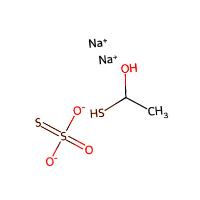 CC(O)S.O=S([O-])([O-])=S.[Na+].[Na+]